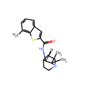 Cc1cccc2cc(C(=O)N[C@H]3C4CCN(CC4)C3(C)C)sc12